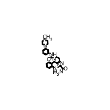 CN1CCN(c2cccc(NC(=O)N3CCc4nc(C(N)=O)sc4C3c3ccccc3N)c2)CC1